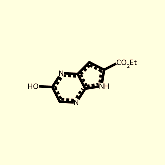 CCOC(=O)c1cc2nc(O)cnc2[nH]1